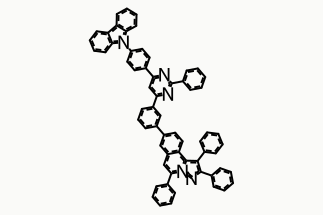 c1ccc(-c2nc(-c3ccc(-n4c5ccccc5c5ccccc54)cc3)cc(-c3cccc(-c4ccc5c(c4)cc(-c4ccccc4)n4nc(-c6ccccc6)c(-c6ccccc6)c54)c3)n2)cc1